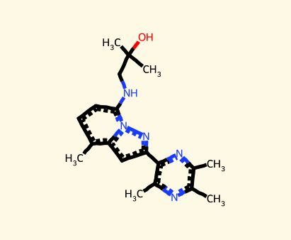 Cc1nc(C)c(-c2cc3c(C)ccc(NCC(C)(C)O)n3n2)nc1C